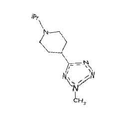 CC(C)N1CCC(c2nnn(C)n2)CC1